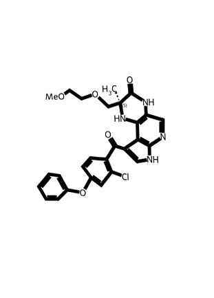 COCCOC[C@]1(C)Nc2c(cnc3[nH]cc(C(=O)c4ccc(Oc5ccccc5)cc4Cl)c23)NC1=O